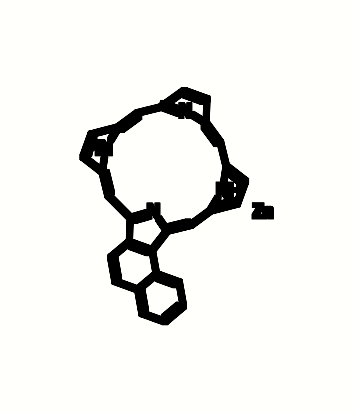 C1=Cc2cc3ccc(cc4nc(cc5ccc(cc1n2)[nH]5)-c1ccc2ccccc2c1-4)[nH]3.[Zn]